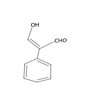 O=CC(=CO)c1ccccc1